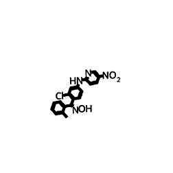 Cc1ccccc1C(=NO)c1ccc(Nc2ccc([N+](=O)[O-])cn2)cc1Cl